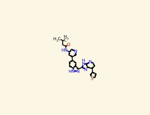 CC(C)CC(=O)Nc1cncc(-c2ccc3[nH]nc(-c4nc5c(-c6ccsc6)ccnc5[nH]4)c3c2)c1